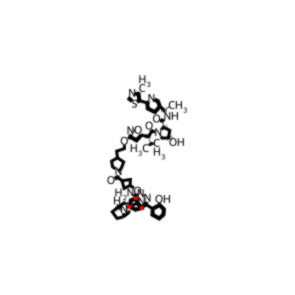 Cc1ncsc1-c1ccc([C@H](C)NC(=O)[C@@H]2C[C@@H](O)CN2C(=O)[C@@H](c2cc(OCCC3CCN(C(=O)C4CC(Oc5cc(N6C7CC[C@@H]6CN(c6cc(-c8ccccc8O)nnc6N)C7)ccn5)C4)CC3)no2)C(C)C)cn1